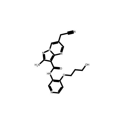 N#CCc1cnc2c(C(=O)Nc3cnccc3OCCCO)c(N)nn2c1